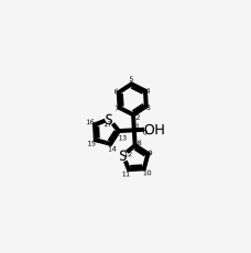 OC(c1ccccc1)(c1cccs1)c1cccs1